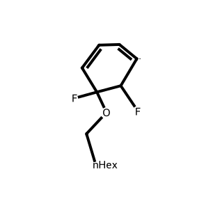 CCCCCCCOC1(F)C=CC=[C]C1F